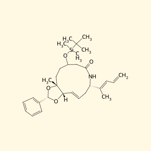 C=C/C=C(\C)[C@@H]1C/C=C/[C@@H]2O[C@H](c3ccccc3)O[C@]2(C)CCC(O[Si](C)(C)C(C)(C)C)CC(=O)N1